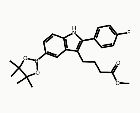 COC(=O)CCCc1c(-c2ccc(F)cc2)[nH]c2ccc(B3OC(C)(C)C(C)(C)O3)cc12